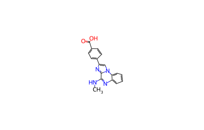 CNc1nc2ccccc2n2cc(-c3ccc(C(=O)O)cc3)nc12